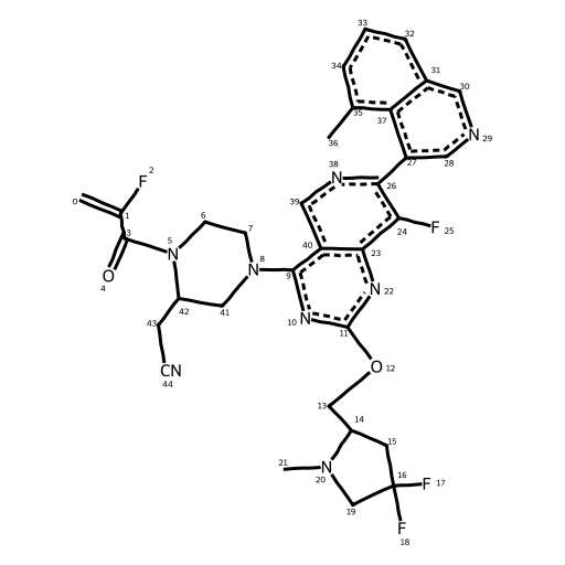 C=C(F)C(=O)N1CCN(c2nc(OCC3CC(F)(F)CN3C)nc3c(F)c(-c4cncc5cccc(C)c45)ncc23)CC1CC#N